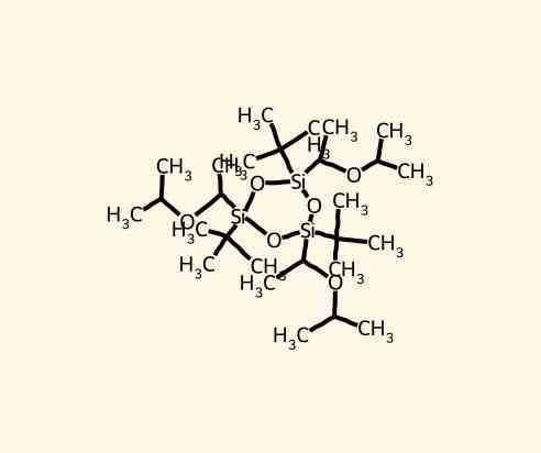 CC(C)OC(C)[Si]1(C(C)(C)C)O[Si](C(C)OC(C)C)(C(C)(C)C)O[Si](C(C)OC(C)C)(C(C)(C)C)O1